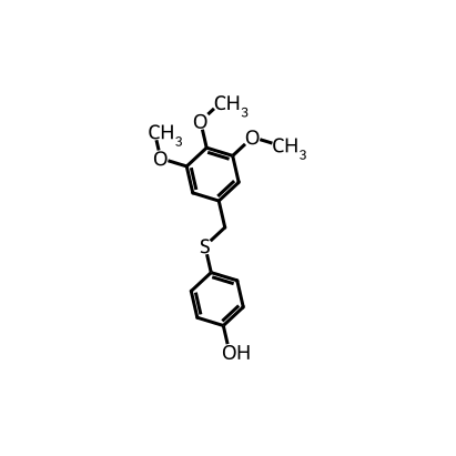 COc1cc(CSc2ccc(O)cc2)cc(OC)c1OC